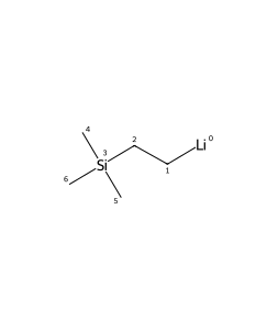 [Li][CH2]C[Si](C)(C)C